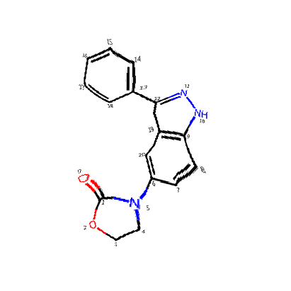 O=C1OCCN1c1ccc2[nH]nc(-c3ccccc3)c2c1